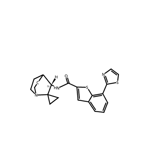 O=C(N[C@H]1C2CCN(CC2)C12CC2)c1cc2cccc(-c3nccs3)c2s1